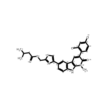 CC(C)CC(=O)OCc1nc(-c2ccc3[nH]c4c(cc(-c5ccc(Cl)cc5Cl)c(=O)n4C)c3c2)cs1